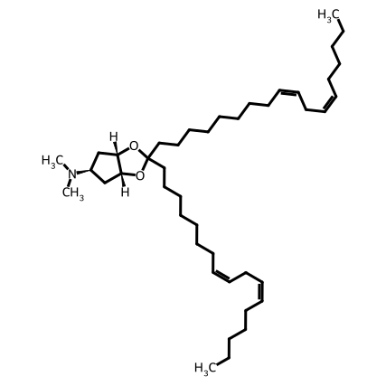 CCCCC/C=C\C/C=C\CCCCCCCCC1(CCCCCCC/C=C\C/C=C\CCCCC)O[C@H]2C[C@H](N(C)C)C[C@H]2O1